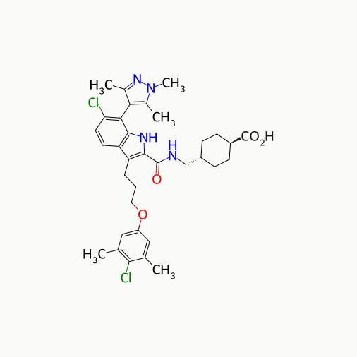 Cc1cc(OCCCc2c(C(=O)NC[C@H]3CC[C@H](C(=O)O)CC3)[nH]c3c(-c4c(C)nn(C)c4C)c(Cl)ccc23)cc(C)c1Cl